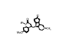 COc1ccc(C(CC(=O)OC(C)C)Cn2c3c(c4cc(Cl)ccc42)CN(C)CC3)cc1